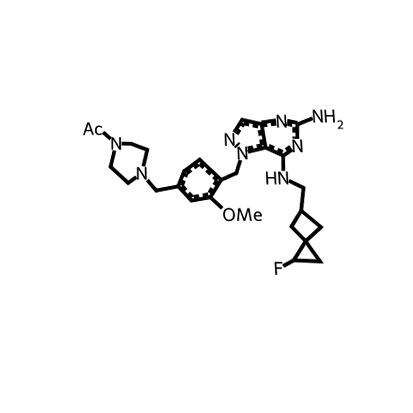 COc1cc(CN2CCN(C(C)=O)CC2)ccc1Cn1ncc2nc(N)nc(NCC3CC4(C3)CC4F)c21